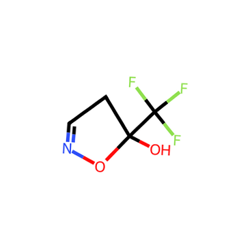 OC1(C(F)(F)F)CC=NO1